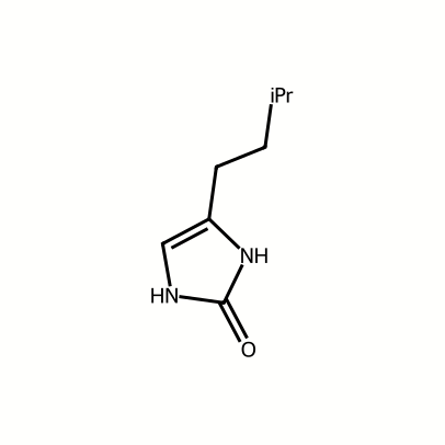 CC(C)CCc1c[nH]c(=O)[nH]1